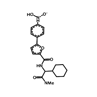 CNC(=O)C(NC(=O)c1ccc(-c2ccc([NH+]([O-])O)cc2)o1)C1CCCCC1